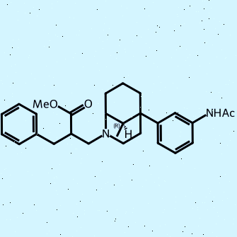 COC(=O)C(Cc1ccccc1)CN1CCC2(c3cccc(NC(C)=O)c3)CCCC1[C@@H]2C